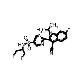 CC(C)n1c(-c2ncc(S(=O)(=O)NC(CF)CF)cn2)c(C#N)c2ccc(F)cc21